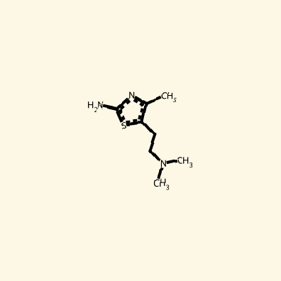 Cc1nc(N)sc1CCN(C)C